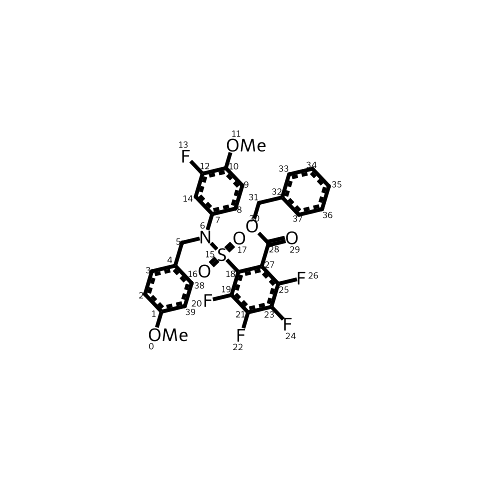 COc1ccc(CN(c2ccc(OC)c(F)c2)S(=O)(=O)c2c(F)c(F)c(F)c(F)c2C(=O)OCc2ccccc2)cc1